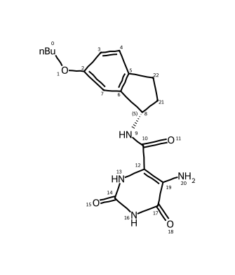 CCCCOc1ccc2c(c1)[C@@H](NC(=O)c1[nH]c(=O)[nH]c(=O)c1N)CC2